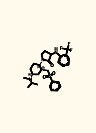 CC(C)N(C)[C@@H]1CC[C@H](N2CCC(Nc3ccccc3C(F)(F)F)C2=O)[C@@H](CS(=O)(=O)c2ccccc2)C1